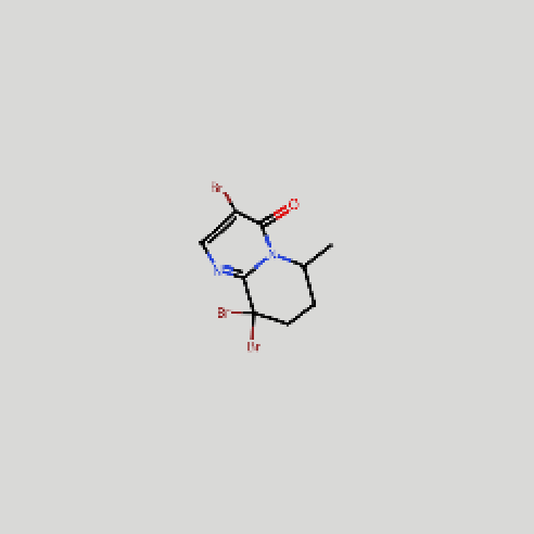 CC1CCC(Br)(Br)c2ncc(Br)c(=O)n21